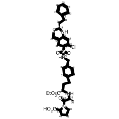 CCOC(=O)[C@H](CCc1ccc(CNS(=O)(=O)C2=C(Cl)C=C3N[C@H](CCc4ccccc4)SC=C3C2)cc1)N[C@@H](C)C(=O)N1CCCC1C(=O)O